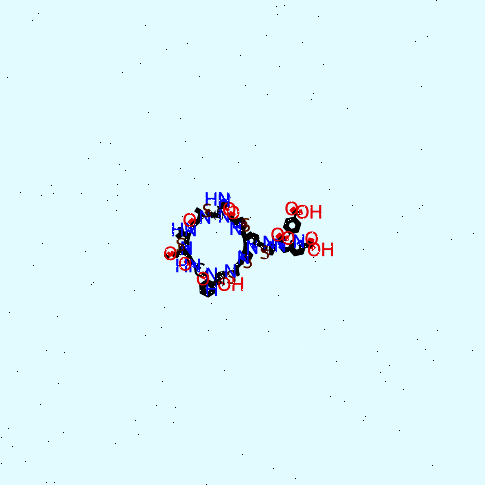 CNC(=O)C[C@@H]1NC(=O)c2csc(n2)-c2ccc(-c3nc(N(Cc4ccc(C(=O)O)nc4)C(=O)O[C@H]4CC[C@H](C(=O)O)CC4)cs3)nc2-c2csc(n2)-c2csc(n2)[C@H]([C@@H](O)c2ccccc2)NC(=O)CNC(=O)c2nc(sc2COC)C(C(C)C)NC(=O)c2nc1sc2C